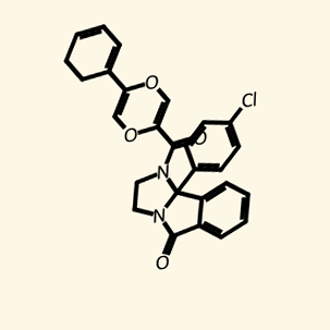 O=C(C1=COC(C2=CC=CCC2)=CO1)N1CCN2C(=O)c3ccccc3C12c1ccc(Cl)cc1